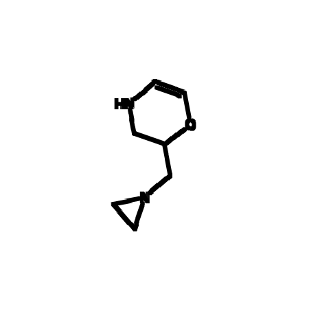 C1=COC(CN2CC2)CN1